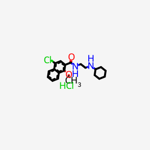 COc1c(C(=O)NCCNC2CCCCC2)cc(Cl)c2ccccc12.Cl